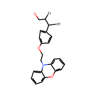 CCCC(c1ccc(OCCN2c3ccccc3Oc3ccccc32)cc1)C(CC)C[O]